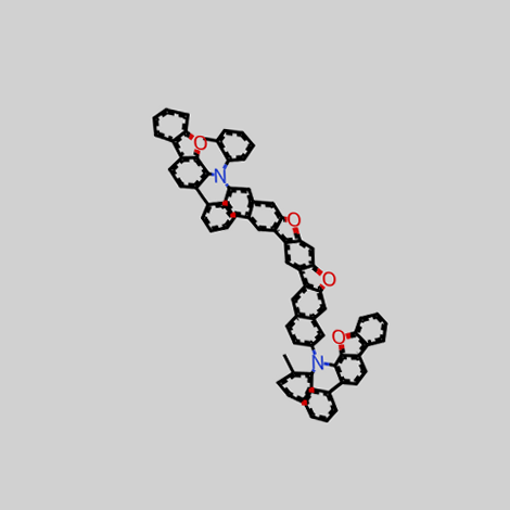 Cc1ccccc1N(c1ccc2cc3c(cc2c1)oc1cc2oc4cc5cc(N(c6ccccc6C)c6c(-c7ccccc7)ccc7c6oc6ccccc67)ccc5cc4c2cc13)c1c(-c2ccccc2)ccc2c1oc1ccccc12